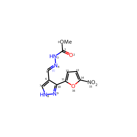 COC(=O)N/N=C/c1c[nH]nc1-c1ccc([N+](=O)[O-])o1